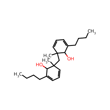 CCCCC1=CC=CC(C)(CC2(C)C=CC=C(CCCC)C2O)C1O